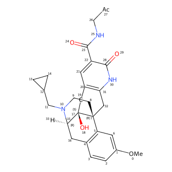 COc1ccc2c(c1)[C@]13CCN(CC4CC4)[C@H](C2)[C@]1(O)Cc1cc(C(=O)NCC(C)=O)c(=O)[nH]c1C3